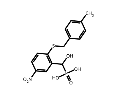 Cc1ccc(CSc2ccc([N+](=O)[O-])cc2C(O)P(=O)(O)O)cc1